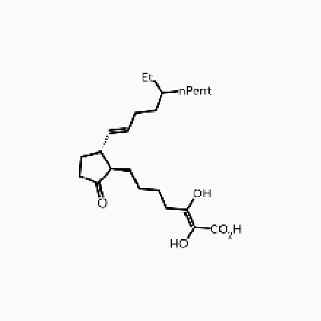 CCCCCC(CC)CC/C=C/[C@H]1CCC(=O)[C@@H]1CCCC/C(O)=C(\O)C(=O)O